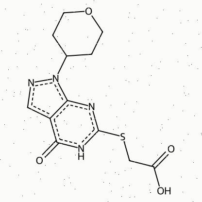 O=C(O)CSc1nc2c(cnn2C2CCOCC2)c(=O)[nH]1